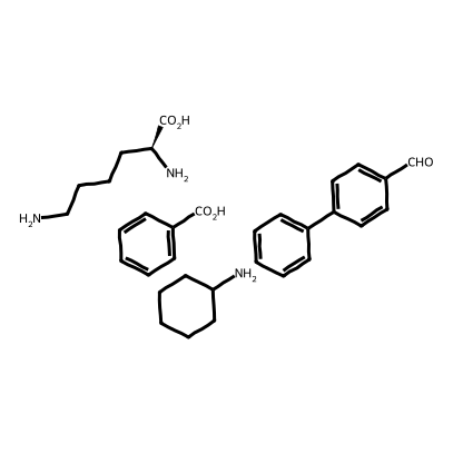 NC1CCCCC1.NCCCC[C@H](N)C(=O)O.O=C(O)c1ccccc1.O=Cc1ccc(-c2ccccc2)cc1